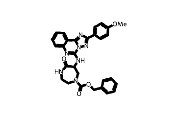 COc1ccc(-c2nc3c4ccccc4nc(NC4CN(C(=O)OCc5ccccc5)CCNC4=O)n3n2)cc1